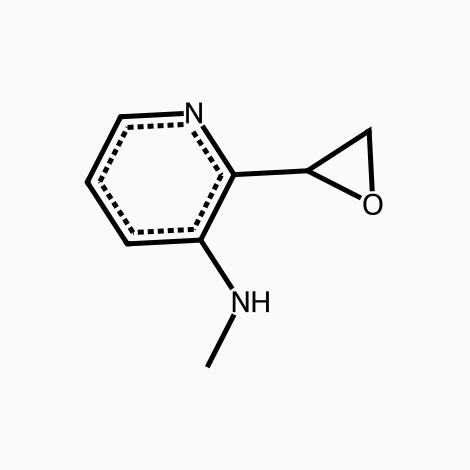 CNc1cccnc1C1CO1